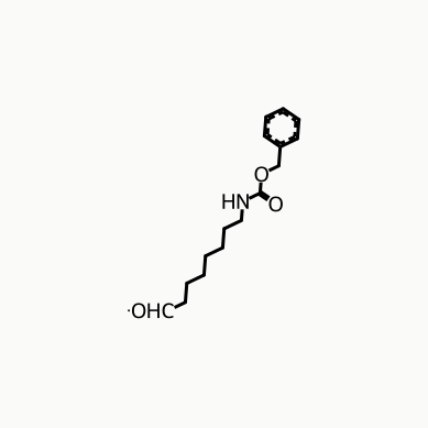 O=[C]CCCCCCCNC(=O)OCc1ccccc1